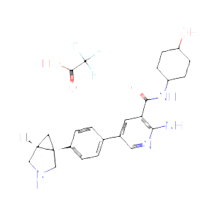 Nc1ncc(-c2ccc([C@@]34CNC[C@@H]3C4)cc2)cc1C(=O)NC1CCC(O)CC1.O=C(O)C(F)(F)F